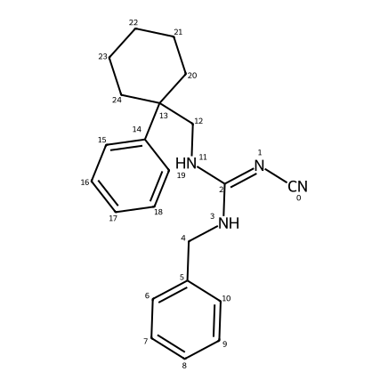 N#C/N=C(\NCc1ccccc1)NCC1(c2ccccc2)CCCCC1